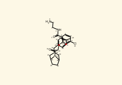 NCCNC(=O)c1ccc(Cl)cc1OCC(=O)N1C2CCC1CN(Cc1ccc(F)cc1)C2